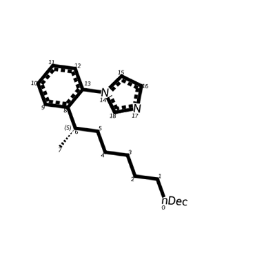 CCCCCCCCCCCCCCC[C@H](C)c1ccccc1-n1ccnc1